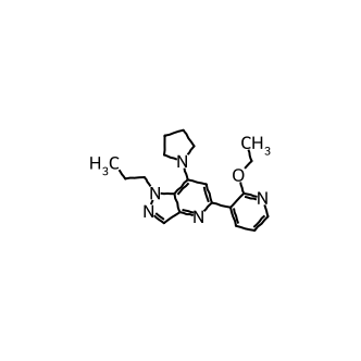 CCCn1ncc2nc(-c3cccnc3OCC)cc(N3CCCC3)c21